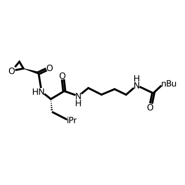 CCCCC(=O)NCCCCNC(=O)[C@H](CC(C)C)NC(=O)[C@@H]1CO1